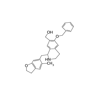 Cc1cc2c(cc1CC1NCCc3cc(OCc4ccccc4)c(CO)cc31)OCC2